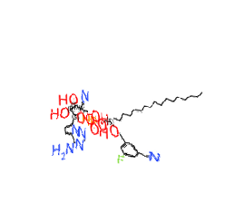 CCCCCCCCCCCCCCCCC[C@@H](CO[PH](O)(O)OC[C@@]1(C#N)O[C@@H](c2ccc3c(N)ncnn23)[C@H](O)[C@@H]1O)OCc1cc(F)cc(C#N)c1